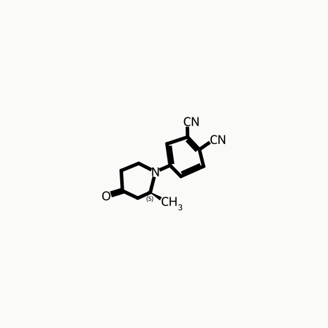 C[C@H]1CC(=O)CCN1c1ccc(C#N)c(C#N)c1